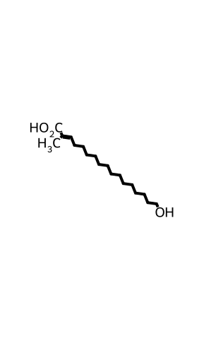 CC(=CCCCCCCCCCCCCCCO)C(=O)O